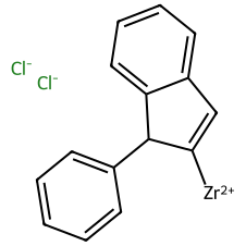 [Cl-].[Cl-].[Zr+2][C]1=Cc2ccccc2C1c1ccccc1